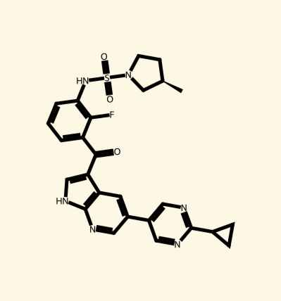 C[C@@H]1CCN(S(=O)(=O)Nc2cccc(C(=O)c3c[nH]c4ncc(-c5cnc(C6CC6)nc5)cc34)c2F)C1